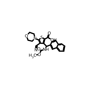 COC(=O)NC(c1ccc2ccccc2c1)c1c(C(=O)O)sc(N2CCOCC2)c1C#N